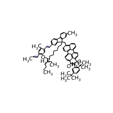 C/C=C/c1cc(C)c(/C=C/c2ccc3c(c2)C(CCCCCCCC)(Cc2ccc4c5ccc6c7c(ccc(c8cccc2c84)c75)C(=O)N(c2cc(C(C)(C)C)ccc2C(C)(C)C)C6=O)c2cc(C)ccc2-3)cc1OCC(CC)CCCC